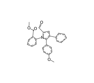 COC(=O)c1ccccc1-n1c(C=O)cc(-c2ccccc2)c1-c1ccc(OC)cc1